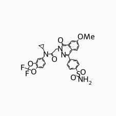 COc1ccc2c(-c3ccc(S(N)(=O)=O)cc3)nn(CC(=O)N(c3ccc4c(c3)OC(F)(F)O4)C3CC3)c(=O)c2c1